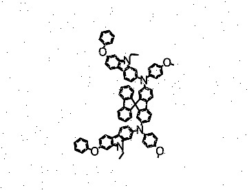 CCn1c2cc(Oc3ccccc3)ccc2c2ccc(N(c3ccc(OC)cc3)c3ccc4c(c3)C3(c5ccccc5-c5ccccc53)c3cc(N(c5ccc(OC)cc5)c5ccc6c7ccc(Oc8ccccc8)cc7n(CC)c6c5)ccc3-4)cc21